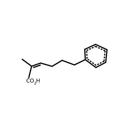 C/C(=C/CCCc1ccccc1)C(=O)O